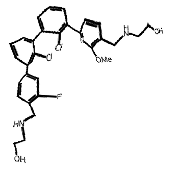 COc1nc(-c2cccc(-c3cccc(-c4ccc(CNCCO)c(F)c4)c3Cl)c2Cl)ccc1CNCCO